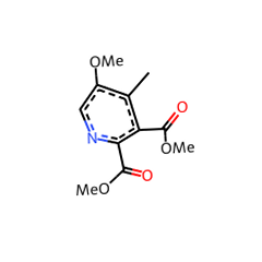 COC(=O)c1ncc(OC)c(C)c1C(=O)OC